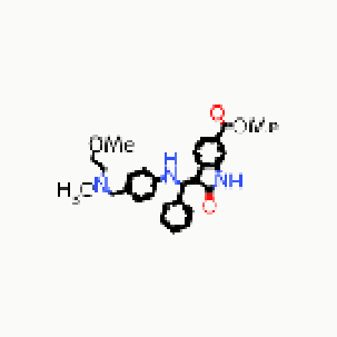 COCCN(C)Cc1ccc(NC(=C2C(=O)Nc3cc(C(=O)OC)ccc32)c2ccccc2)cc1